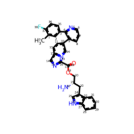 Cc1cc(-c2ncccc2-c2ccc3cnc(C(=O)OC[C@@H](N)Cc4c[nH]c5ccccc45)n3c2)ccc1F